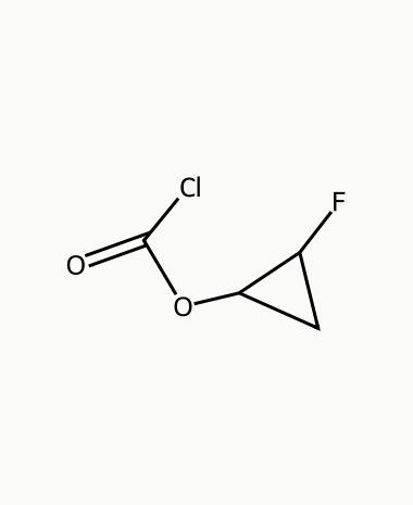 O=C(Cl)OC1CC1F